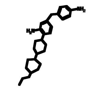 CCCC1CCC(C2CCC(c3ccc(Cc4ccc(N)cc4)cc3N)CC2)CC1